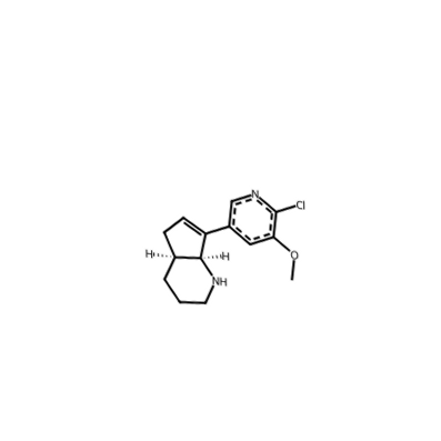 COc1cc(C2=CC[C@@H]3CCCN[C@H]23)cnc1Cl